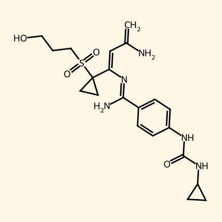 C=C(N)/C=C(\N=C(/N)c1ccc(NC(=O)NC2CC2)cc1)C1(S(=O)(=O)CCCO)CC1